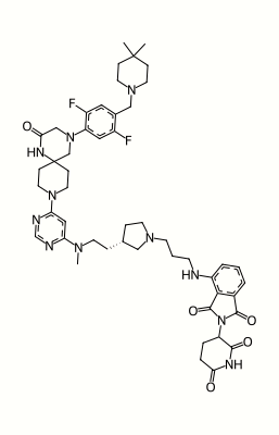 CN(CC[C@@H]1CCN(CCCNc2cccc3c2C(=O)N(C2CCC(=O)NC2=O)C3=O)C1)c1cc(N2CCC3(CC2)CN(c2cc(F)c(CN4CCC(C)(C)CC4)cc2F)CC(=O)N3)ncn1